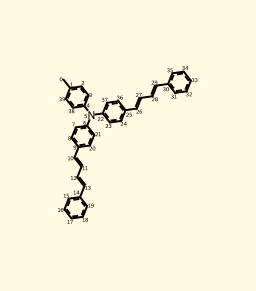 Cc1ccc(N(c2ccc(/C=C/C=C/c3ccccc3)cc2)c2ccc(/C=C/C=C/c3ccccc3)cc2)cc1